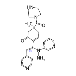 CC1(C(=O)N2CCNCC2)CC=C(/C(=C/c2ccncc2)N(N)c2ccccc2)C(=O)C1